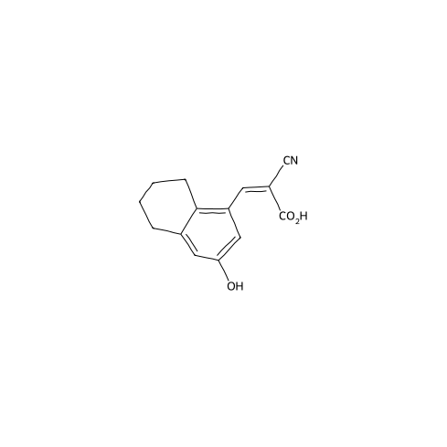 N#C/C(=C/c1cc(O)cc2c1CCCC2)C(=O)O